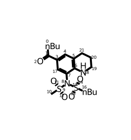 CCCCC(=O)c1cc2c(c(N(S(C)(=O)=O)S(=O)(=O)CCCC)c1)NCCC2